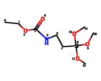 CCOC(=O)NCC[Si](OC)(OC)OC